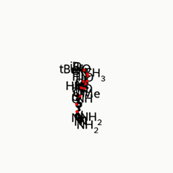 COC(=O)[C@H](CCCNC(=O)c1ccc(NC(=O)[C@H](C)NC(=O)[C@@H](NC(=O)OC(C)(C)C)C(C)C)cc1-c1nn[nH]n1)NC(=O)c1ccc(CCc2cnc3nc(N)nc(N)c3n2)cc1